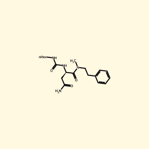 CCCCCCNC(=O)N[C@H](CC(N)=O)C(=O)N(C)CCc1ccccc1